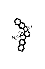 CC1(C)c2cc3ccccc3cc2-c2ccc3[nH]c4cc5ccccc5cc4c3c21